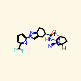 N#CN1[C@H]2CC[C@@H]1[C@H](NC(=O)[C@@H]1CCc3nn(-c4cccc(C(F)F)n4)cc3C1)C2